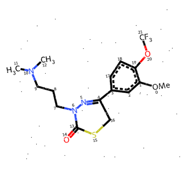 COc1cc(C2=NN(CCCN(C)C)C(=O)SC2)ccc1OC(F)(F)F